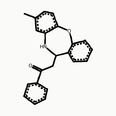 Cc1ccc2c(c1)NC(CC(=O)c1ccccc1)c1ccccc1O2